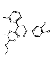 CCOC(=O)[C@H](C)OC(=O)[C@@H](CC(=O)c1ccc(Cl)c(Cl)c1)c1cccc(C)c1